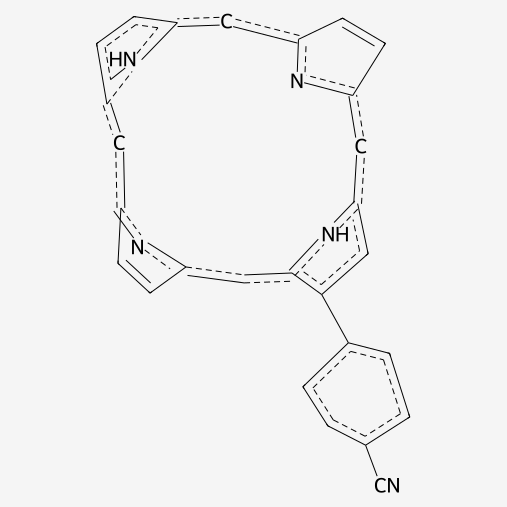 N#Cc1ccc(-c2cc3cc4nc(cc5ccc(cc6nc(cc2[nH]3)C=C6)[nH]5)C=C4)cc1